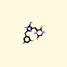 CC(C)c1[nH]c(Cc2cc(F)cc(F)c2)nc1C=C1NC(=O)CNC1=O